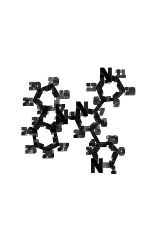 c1cncc(-c2cc(-c3cccnc3)nc(-n3c4ccccc4c4ccccc43)c2)c1